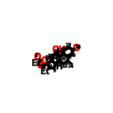 CCC(=O)O[C@]1(C(=O)CC)CC[C@H]2[C@@H]3C[C@H](C)C4=CC(=O)C=C[C@]4(C)[C@H]3[C@@H](O)C[C@@]21C